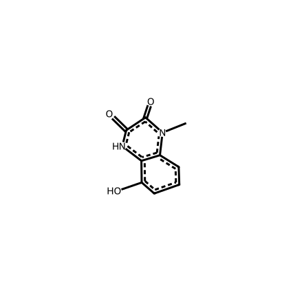 Cn1c(=O)c(=O)[nH]c2c(O)cccc21